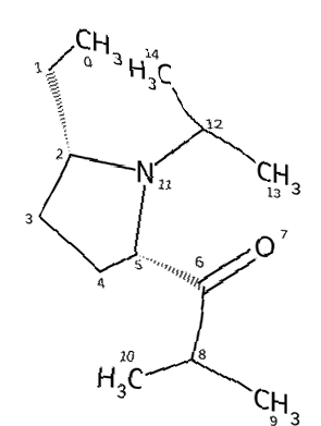 CC[C@H]1CC[C@@H](C(=O)C(C)C)N1C(C)C